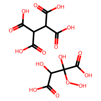 O=C(O)C(C(=O)O)C(C(=O)O)C(=O)O.O=C(O)C(O)C(O)(OO)C(=O)O